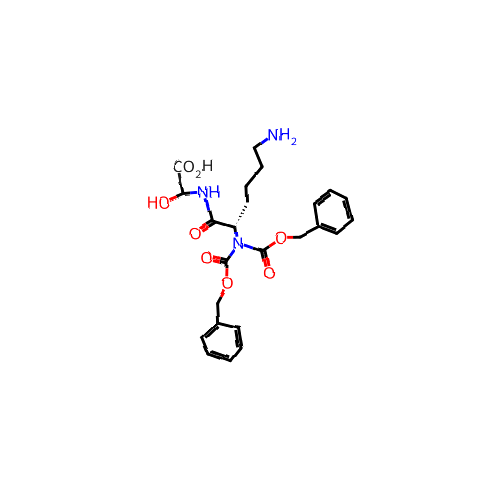 NCCCC[C@@H](C(=O)NC(O)C(=O)O)N(C(=O)OCc1ccccc1)C(=O)OCc1ccccc1